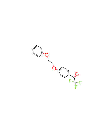 O=C(c1ccc(OCCOc2ccccc2)cc1)C(F)(F)F